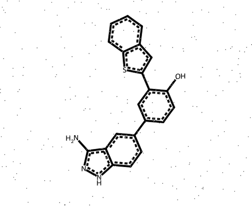 Nc1n[nH]c2ccc(-c3ccc(O)c(-c4cc5ccccc5s4)c3)cc12